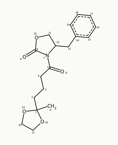 CC1(CCCC(=O)N2C(=O)OCC2Cc2ccccc2)OCCO1